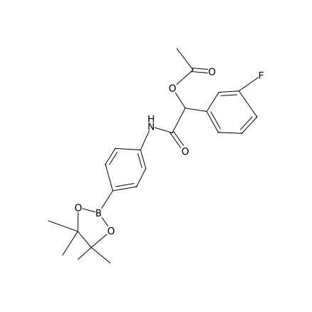 CC(=O)OC(C(=O)Nc1ccc(B2OC(C)(C)C(C)(C)O2)cc1)c1cccc(F)c1